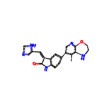 Cc1c(-c2ccc3c(c2)/C(=C/c2cnc[nH]2)C(=O)N3)cnc2c1NCCO2